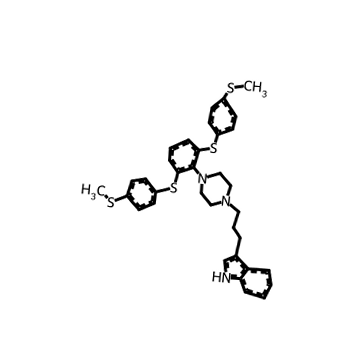 CSc1ccc(Sc2cccc(Sc3ccc(SC)cc3)c2N2CCN(CCCc3c[nH]c4ccccc34)CC2)cc1